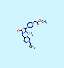 CCN1CCC(CN2C(=O)OC(N3CCN(CC(=O)OC)CC3)C2C)CC1